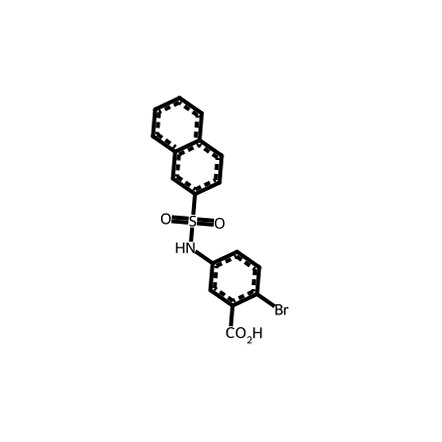 O=C(O)c1cc(NS(=O)(=O)c2ccc3ccccc3c2)ccc1Br